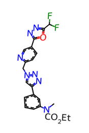 CCOC(=O)N(C)c1cccc(-c2cn(Cc3ccc(-c4nnc(C(F)F)o4)cn3)nn2)c1